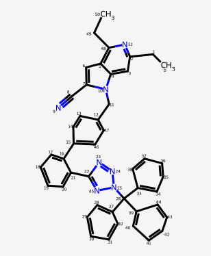 CCc1cc2c(cc(C#N)n2Cc2ccc(-c3ccccc3-c3nnn(C(c4ccccc4)(c4ccccc4)c4ccccc4)n3)cc2)c(CC)n1